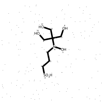 O=S(=O)(O)CCCN(O)C(CO)(CO)CO